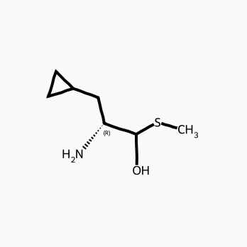 CSC(O)[C@H](N)CC1CC1